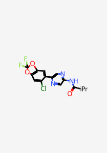 CC(C)C(=O)Nc1cnc(-c2cc3c(cc2Cl)OC(F)(F)O3)cn1